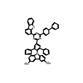 CC(C)(C)c1ccc2c(c1)c1cc(C(C)(C)C)ccc1n2-c1c(-c2ccccc2)cc(-c2nc(C3=CCC(c4ccccc4)C=C3)nc(-c3cccc4c3oc3ccccc34)n2)cc1-c1ccccc1